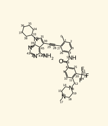 Cc1ccc(NC(=O)c2ccc(CN3CCN(C)CC3)c(C(F)(F)F)c2)cc1C#Cc1cn(C2CCCCC2)c2ncnc(N)c12